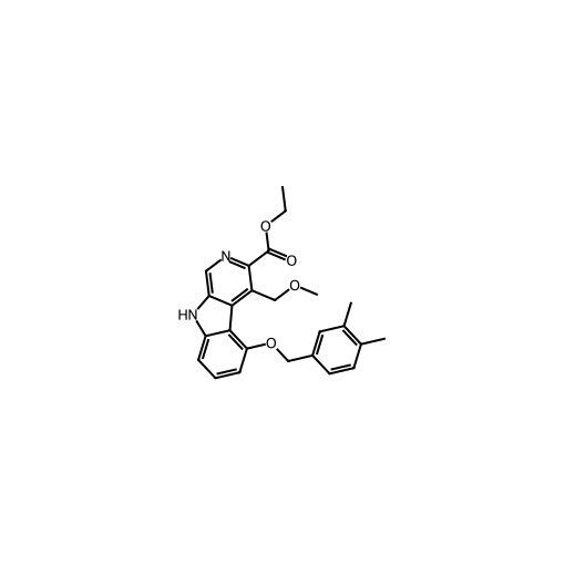 CCOC(=O)c1ncc2[nH]c3cccc(OCc4ccc(C)c(C)c4)c3c2c1COC